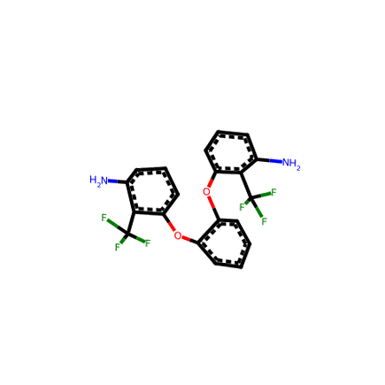 Nc1cccc(Oc2ccccc2Oc2cccc(N)c2C(F)(F)F)c1C(F)(F)F